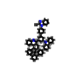 CCc1nc2ccccc2n1-c1ccc(-c2cc(-c3nc4ccccc4c4c5c(ccc34)C3(c4ccccc4-c4ccccc43)c3ccccc3-5)cc(-n3c4ccccc4c4ccccc43)c2)cc1